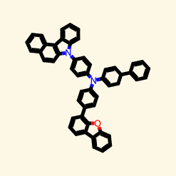 C1=CC(c2ccccc2)CC=C1N(c1ccc(-c2cccc3c2oc2ccccc23)cc1)c1ccc(-n2c3ccccc3c3c4ccccc4ccc32)cc1